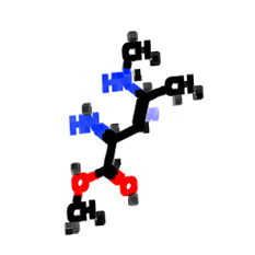 CN/C(C)=C\C(=N)C(=O)OC